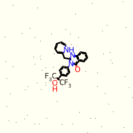 O=c1c2ccccc2nc(CC2=CC=CC=CN2)n1-c1ccc(C(O)(C(F)(F)F)C(F)(F)F)cc1